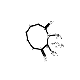 NN1C(=O)CCCCCC(=O)[C@@]1(N)C(=O)O